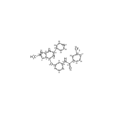 Cn1cc2c(Oc3cccc(NC(=O)c4cccc(C(F)(F)F)c4)c3)nc(-c3ccncc3)nc2n1